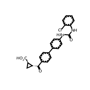 O=C(Nc1ccccc1Cl)[AsH]c1ccc(-c2ccc(C(=O)[C@@H]3C[C@H]3C(=O)O)cc2)cc1